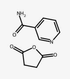 NC(=O)c1cccnc1.O=C1CCC(=O)O1